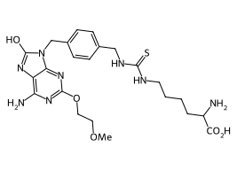 COCCOc1nc(N)c2nc(O)n(Cc3ccc(CNC(=S)NCCCCC(N)C(=O)O)cc3)c2n1